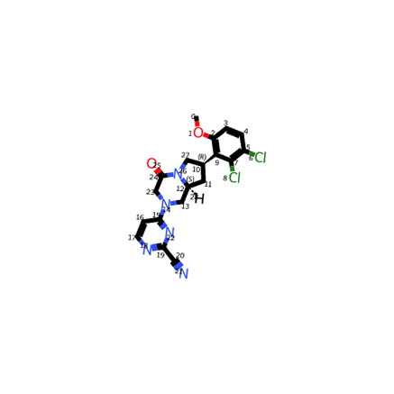 COc1ccc(Cl)c(Cl)c1[C@H]1C[C@H]2CN(c3ccnc(C#N)n3)CC(=O)N2C1